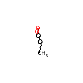 CCCCCC1CCC(C2CCC(OC=O)CC2)CC1